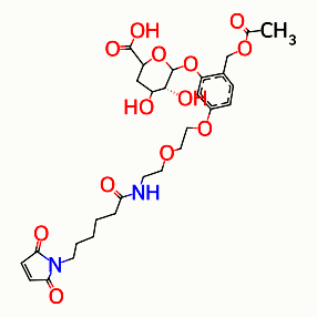 CC(=O)OCc1ccc(OCCOCCNC(=O)CCCCCN2C(=O)C=CC2=O)cc1OC1OC(C(=O)O)CC(O)[C@H]1O